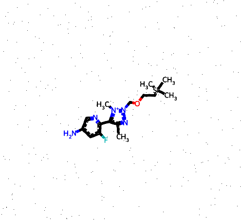 Cc1nn(COCC[Si](C)(C)C)[n+](C)c1-c1ncc(N)cc1F